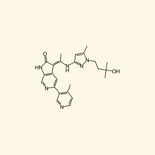 CC(Nc1cc(C)n(CCC(C)(C)O)n1)=C1C(=O)Nc2cnc(-c3cnccc3C)cc21